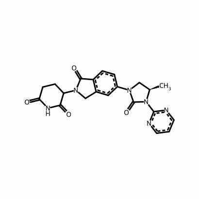 C[C@@H]1CN(c2ccc3c(c2)CN(C2CCC(=O)NC2=O)C3=O)C(=O)N1c1ncccn1